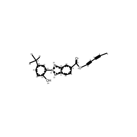 CC#CC#COC(=O)c1ccc2nn(-c3cc(C(C)(C)C)ccc3O)nc2c1